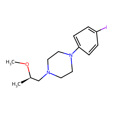 CO[C@H](C)CN1CCN(c2ccc(I)cc2)CC1